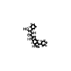 O=C(NC(CO)c1ccccc1)c1nc2cc3c(-c4ccncc4)n[nH]c3cc2[nH]1